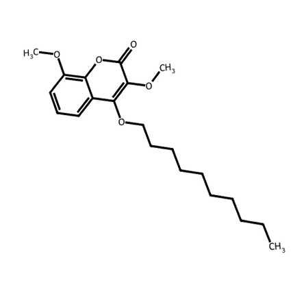 CCCCCCCCCCOc1c(OC)c(=O)oc2c(OC)cccc12